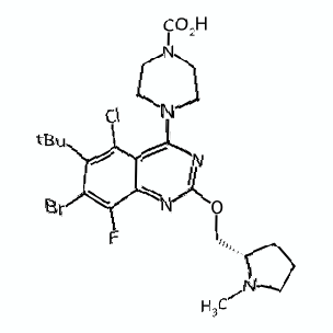 CN1CCC[C@H]1COc1nc(N2CCN(C(=O)O)CC2)c2c(Cl)c(C(C)(C)C)c(Br)c(F)c2n1